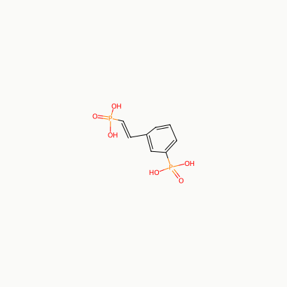 O=P(O)(O)C=Cc1cccc(P(=O)(O)O)c1